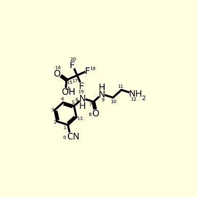 N#Cc1cccc(NC(=O)NCCN)c1.O=C(O)C(F)(F)F